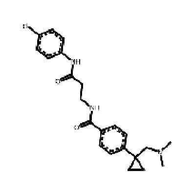 CN(C)CC1(c2ccc(C(=O)NCCC(=O)Nc3ccc(Cl)cc3)cc2)CC1